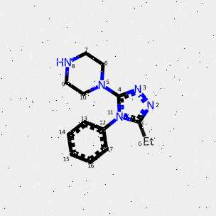 CCc1nnc(N2CCNCC2)n1-c1ccccc1